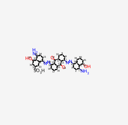 Nc1ccc(N=Nc2cccc3c2C(=O)c2cccc(N=Nc4ccc(N)c5c(O)cc(S(=O)(=O)O)cc45)c2C3=O)c2cccc(O)c12